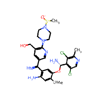 COc1cc(N)c(C(=N)c2cnc(N3CCN([S+](C)[O-])CC3)c(CO)c2)cc1O[C@H](N)c1c(Cl)cnc(C)c1Cl